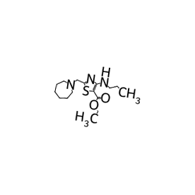 CCCNc1nc(CN2CCCCCC2)sc1C(=O)OCC